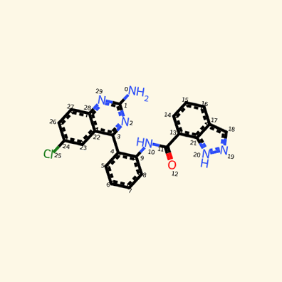 Nc1nc(-c2ccccc2NC(=O)c2cccc3cn[nH]c23)c2cc(Cl)ccc2n1